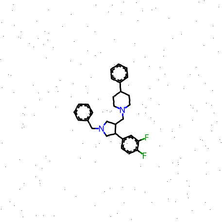 Fc1ccc(C2CN(Cc3ccccc3)CC2CN2CCC(c3ccccc3)CC2)cc1F